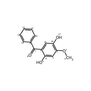 COc1cc(O)c(C(=O)c2ccccc2)cc1O